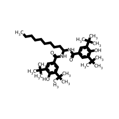 CCCCCCCCCC(NC(=O)c1cc(C(C)(C)C)c(O)c(C(C)(C)C)c1)NC(=O)c1cc(C(C)(C)C)c(O)c(C(C)(C)C)c1